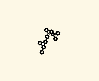 c1ccc(-c2ccc3c4ccc(-c5ccc(-n6c7ccccc7c7ccc8c(cc(-c9ccccc9)n8-c8ccccc8)c76)cc5)cc4c4ccccc4c3c2)cc1